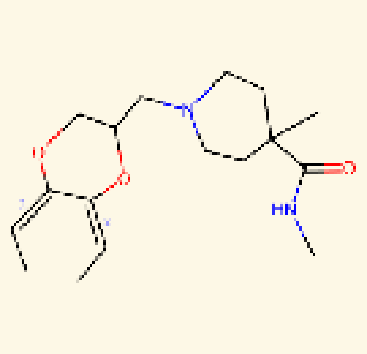 C/C=C1/OCC(CN2CCC(C)(C(=O)NC)CC2)O/C1=C/C